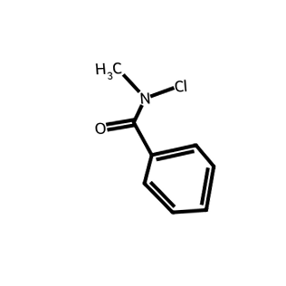 CN(Cl)C(=O)c1ccccc1